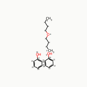 CCCCOCCCC.Oc1ccccc1.Oc1ccccc1